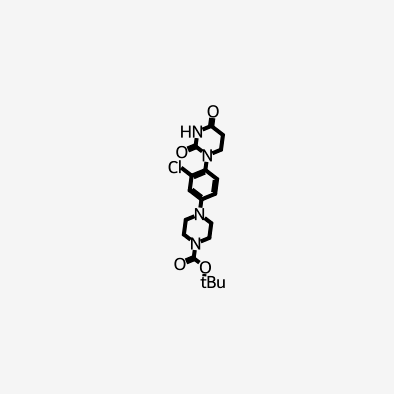 CC(C)(C)OC(=O)N1CCN(c2ccc(N3CCC(=O)NC3=O)c(Cl)c2)CC1